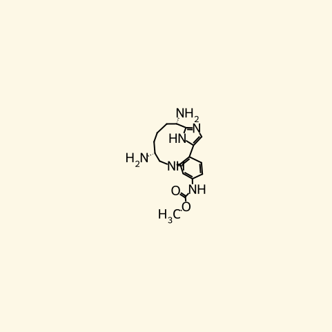 COC(=O)Nc1ccc2c(c1)NC[C@H](N)CCC[C@H](N)c1ncc-2[nH]1